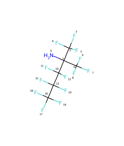 NC(C(F)(F)F)(C(F)(F)F)C(F)(F)C(F)(F)C(F)(F)F